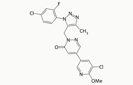 COc1ncc(-c2cnn(Cc3c(C)nnn3-c3ccc(Cl)cc3F)c(=O)c2)cc1Cl